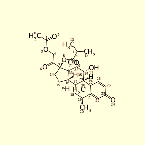 CC(=O)OCC(=O)[C@@]1(OC(=O)C(C)C)CC[C@H]2[C@@H]3C[C@H](C)C4=CC(=O)C=C[C@]4(C)[C@H]3[C@@H](O)C[C@@]21C